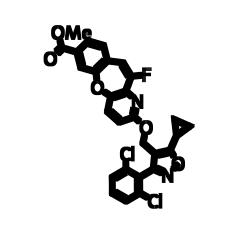 COC(=O)c1ccc2c(c1)Oc1ccc(OCc3c(-c4c(Cl)cccc4Cl)noc3C3CC3)nc1C(F)=C2